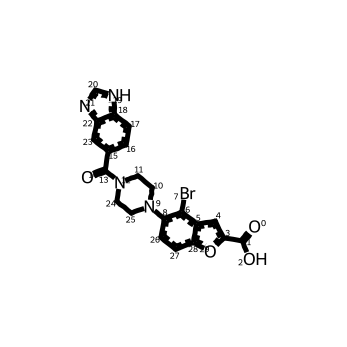 O=C(O)c1cc2c(Br)c(N3CCN(C(=O)c4ccc5[nH]cnc5c4)CC3)ccc2o1